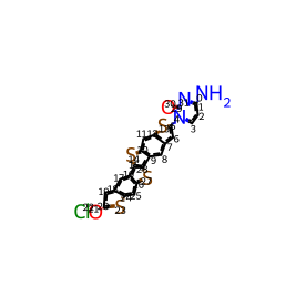 Nc1ccn(-c2cc3cc4c(cc3s2)sc2c3cc5cc(OCl)sc5cc3sc42)c(=O)n1